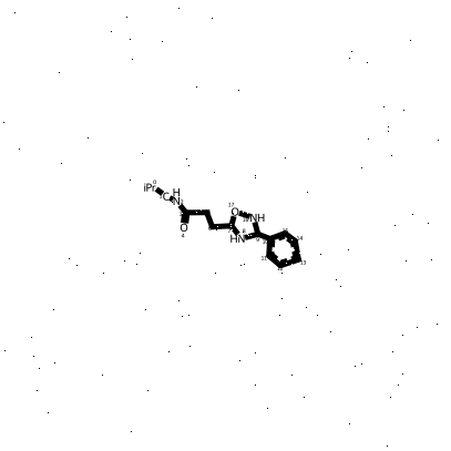 CC(C)CNC(=O)CCC1NC(c2ccccc2)NO1